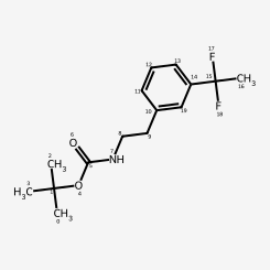 CC(C)(C)OC(=O)NCCc1cccc(C(C)(F)F)c1